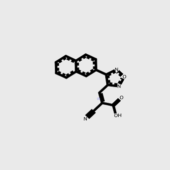 N#C/C(=C/c1nonc1-c1ccc2ccccc2c1)C(=O)O